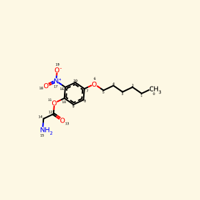 CCCCCCOc1ccc(OC(=O)CN)c([N+](=O)[O-])c1